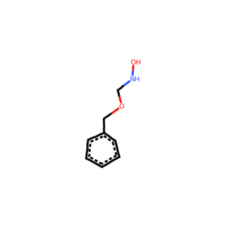 ONCOCc1ccccc1